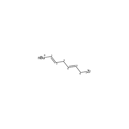 CCCCC=CCC=C[CH2][Zr]